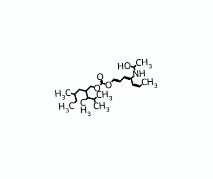 C\C=C/C(=C\C=C\OC(=O)OCC(CC(C)CC)C(C)C(C)C)NC(C)O